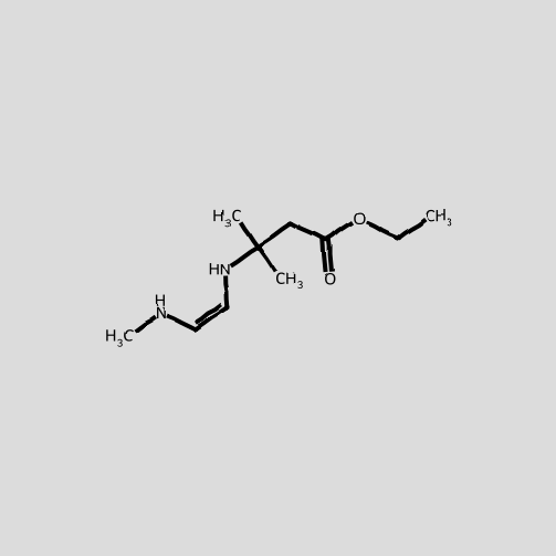 CCOC(=O)CC(C)(C)N/C=C\NC